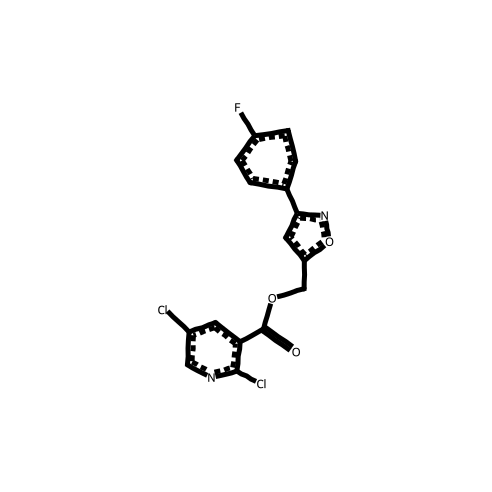 O=C(OCc1cc(-c2ccc(F)cc2)no1)c1cc(Cl)cnc1Cl